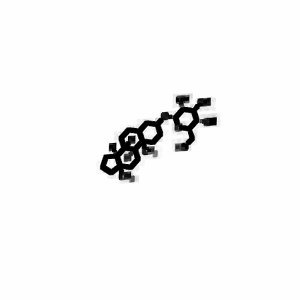 C[C@@]12CCC[C@H]1[C@@H]1CCC3CC(O[C@H]4O[C@H](CO)[C@@H](O)[C@H](O)[C@H]4O)CC[C@]3(C)[C@H]1CC2